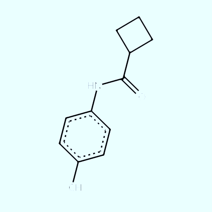 Cc1ccc(NC(=O)C2CCC2)cc1